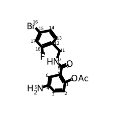 CC(=O)Oc1ccc(N)cc1C(=O)NCc1ccc(Br)cc1F